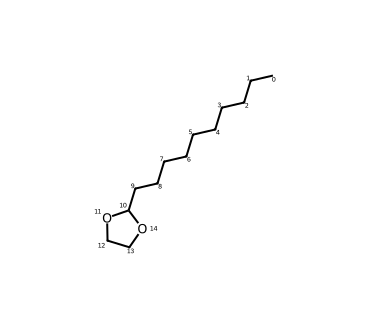 CCCCCCCCCCC1OCCO1